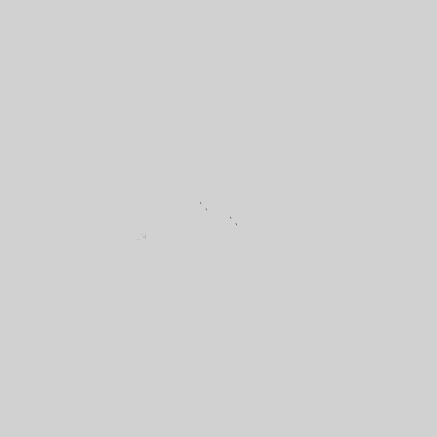 O=C(NCc1cccc(F)c1)Nc1cccc(Br)c1